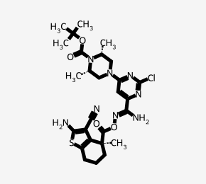 C[C@@H]1CN(c2cc(/C(N)=N/OC(=O)[C@@]3(C)CCCc4sc(N)c(C#N)c43)nc(Cl)n2)C[C@H](C)N1C(=O)OC(C)(C)C